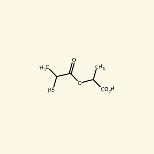 CC(S)C(=O)OC(C)C(=O)O